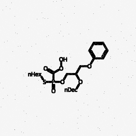 CCCCCCCCCCOC(COc1ccccc1)COP(=O)(SCCCCCC)C(=O)OO